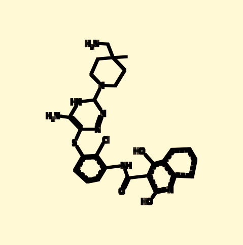 CC1(CN)CCN(C2N=NC(Sc3cccc(NC(=O)c4c(O)nc5ccccc5c4O)c3Cl)=C(N)N2)CC1